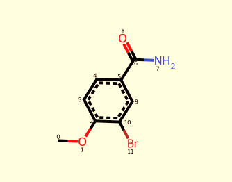 COc1ccc(C(N)=O)cc1Br